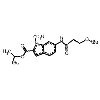 CC(OC(=O)c1cc2ccc(NC(=O)CCOC(C)(C)C)cc2n1C(=O)O)C(C)(C)C